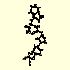 O=C(Cc1csc(-c2ccc(OC(F)(F)F)cc2)n1)N[C@H](Cc1c[nH]c2ccccc12)C(=O)O